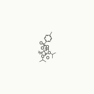 [2H]C([2H])(OS(=O)(=O)c1ccc(C)cc1)P(=O)(OC(C)C)OC(C)C